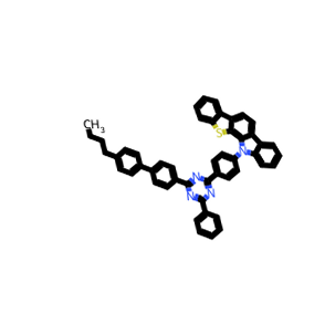 CCCCc1ccc(-c2ccc(-c3nc(-c4ccccc4)nc(-c4ccc(-n5c6ccccc6c6ccc7c8ccccc8sc7c65)cc4)n3)cc2)cc1